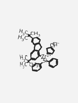 CC(C)(C)c1ccc2c(c1)-c1cc(C(C)(C)C)c[c]([Zr+2]([C]3=CC=CC3)=[Si](c3ccccc3)c3ccccc3)c1C2.[Cl-].[Cl-]